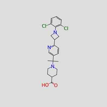 CC(C)(c1ccc(C2CN(c3c(Cl)cccc3Cl)C2)nc1)N1CCC(C(=O)O)CC1